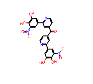 O=C(c1ccnc(-c2cc(O)c(O)c([N+](=O)[O-])c2)c1)c1ccnc(-c2cc(O)c(O)c([N+](=O)[O-])c2)c1